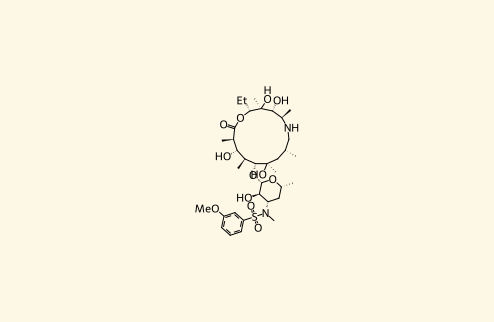 CC[C@H]1OC(=O)[C@H](C)[C@@H](O)[C@H](C)[C@@H](O[C@@H]2O[C@H](C)C[C@H](N(C)S(=O)(=O)c3cccc(OC)c3)[C@H]2O)[C@](C)(O)C[C@@H](C)CN[C@H](C)[C@@H](O)[C@]1(C)O